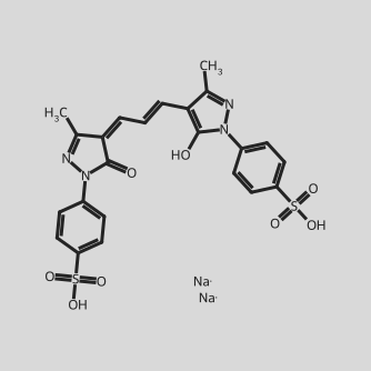 CC1=NN(c2ccc(S(=O)(=O)O)cc2)C(=O)C1=CC=Cc1c(C)nn(-c2ccc(S(=O)(=O)O)cc2)c1O.[Na].[Na]